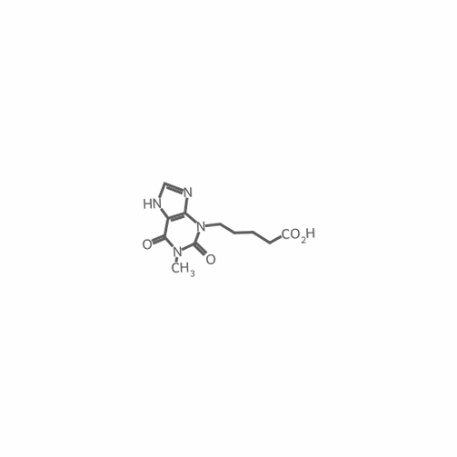 Cn1c(=O)c2[nH]cnc2n(CCCCC(=O)O)c1=O